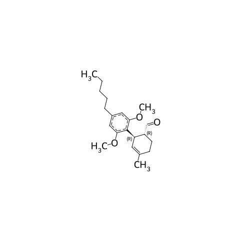 CCCCCc1cc(OC)c([C@@H]2C=C(C)CC[C@H]2C=O)c(OC)c1